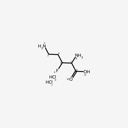 Cl.Cl.NCCC(F)C(N)C(=O)O